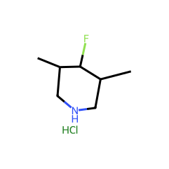 CC1CNCC(C)C1F.Cl